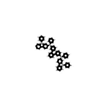 C1=CCC2C3=CCC(N(c4ccccc4)c4cccc(-c5ccccc5-c5cccc(N(C6=CC7C(C=C6)c6ccccc6N7c6ccccc6)c6ccccc6)c5)c4)C=C3N(c3ccccc3)C2=C1